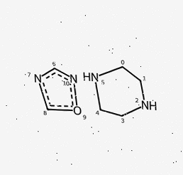 C1CNCCN1.c1ncon1